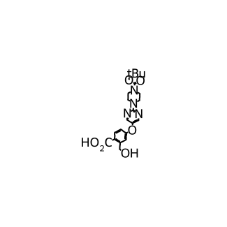 CC(C)(C)OC(=O)N1CCN(c2ncc(Oc3ccc(C(=O)O)c(CO)c3)cn2)CC1